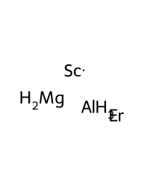 [AlH3].[Er].[MgH2].[Sc]